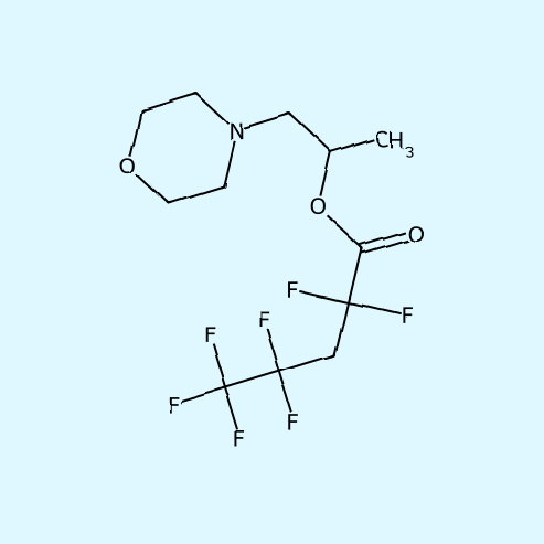 CC(CN1CCOCC1)OC(=O)C(F)(F)CC(F)(F)C(F)(F)F